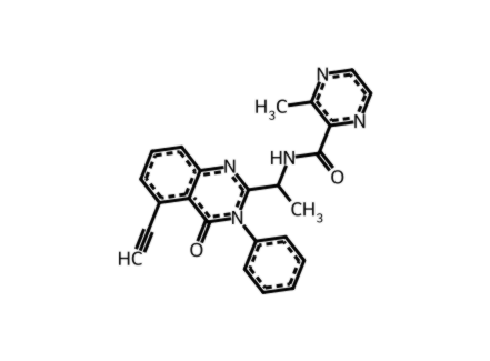 C#Cc1cccc2nc(C(C)NC(=O)c3nccnc3C)n(-c3ccccc3)c(=O)c12